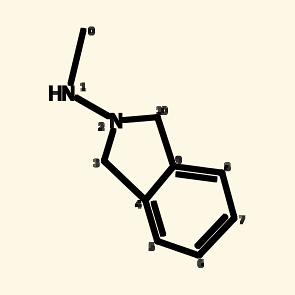 CNN1Cc2ccccc2C1